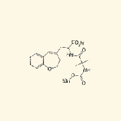 CC(C)(C)OC(=O)NC(C)(C)C(=O)NC(CC1=Cc2ccccc2OCC1)C(=O)O